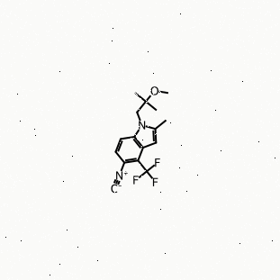 [C-]#[N+]c1ccc2c(cc(C)n2CC(C)(C)OC)c1C(F)(F)F